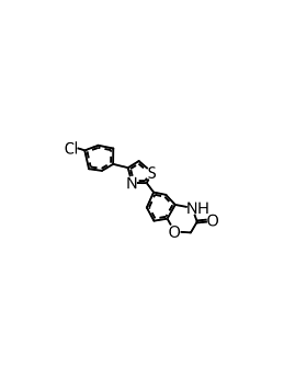 O=C1COc2ccc(-c3nc(-c4ccc(Cl)cc4)cs3)cc2N1